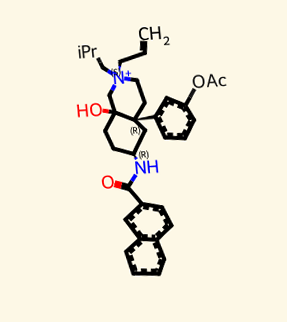 C=CC[N@@+]1(CC(C)C)CC[C@]2(c3cccc(OC(C)=O)c3)C[C@H](NC(=O)c3ccc4ccccc4c3)CCC2(O)C1